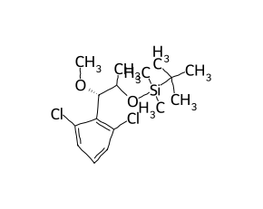 CO[C@@H](c1c(Cl)cccc1Cl)C(C)O[Si](C)(C)C(C)(C)C